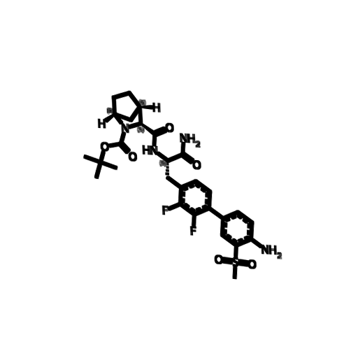 CC(C)(C)OC(=O)N1[C@@H]2CC[C@@H](C2)[C@H]1C(=O)N[C@@H](Cc1ccc(-c2ccc(N)c(S(C)(=O)=O)c2)c(F)c1F)C(N)=O